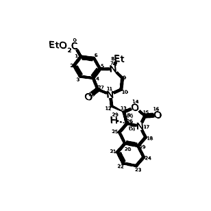 CCOC(=O)c1ccc2c(c1)N(CC)CCN(C[C@H]1OC(=O)N3CC4=C(C=CCC4)C[C@@H]13)C2=O